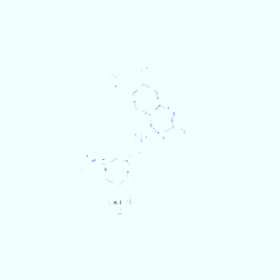 Cc1nc(NCc2cc(N)cc(C(F)(F)F)c2)c2cc3c(cc2n1)CCCC3